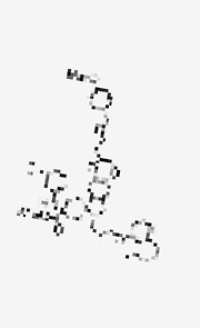 COC(=O)C1(Nc2cccc(Cl)c2)CCC2(CC1)c1cc3c(cc1C[C@@H]2C[C@@H](C)COc1ccnc2c1[C@H](C)CCC2)OC[C@H](CCOCc1ccc(OC)cc1)O3